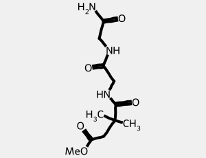 COC(=O)CC(C)(C)C(=O)NCC(=O)NCC(N)=O